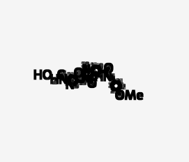 COc1ccc(CNC(=O)c2ccc3c(c2)c(=O)n(Cc2ccc(NC(=O)O)nc2)c(=O)n3C)cc1